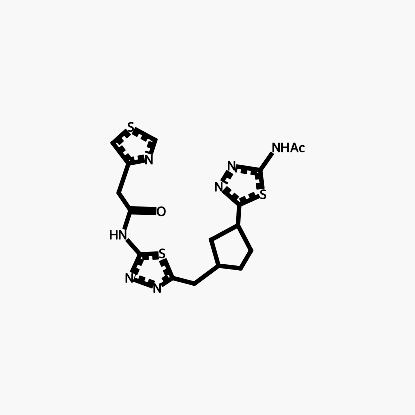 CC(=O)Nc1nnc(C2CCC(Cc3nnc(NC(=O)Cc4cscn4)s3)C2)s1